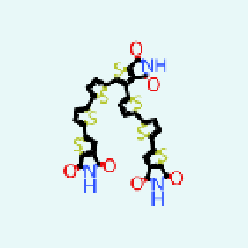 O=C1NC(=O)c2sc(-c3ccc(-c4ccc(-c5sc6c(c5-c5ccc(-c7ccc(-c8cc9c(s8)C(=O)NC9=O)s7)s5)C(=O)NC6=O)s4)s3)cc21